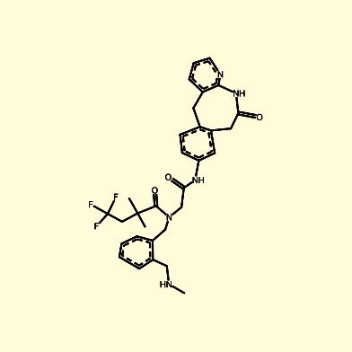 CNCc1ccccc1CN(CC(=O)Nc1ccc2c(c1)CC(=O)Nc1ncccc1C2)C(=O)C(C)(C)CC(F)(F)F